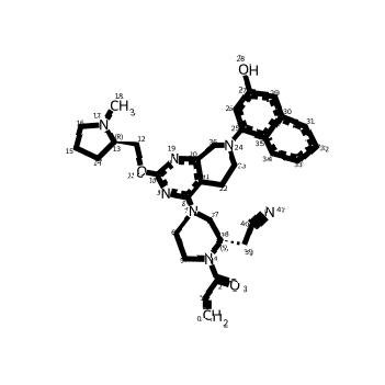 C=CC(=O)N1CCN(c2nc(OC[C@H]3CCCN3C)nc3c2CCN(c2cc(O)cc4ccccc24)C3)C[C@@H]1CC#N